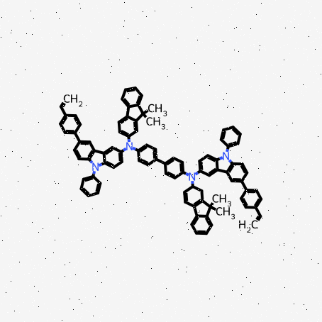 C=Cc1ccc(-c2ccc3c(c2)c2cc(N(c4ccc(-c5ccc(N(c6ccc7c(c6)c6cc(-c8ccc(C=C)cc8)ccc6n7-c6ccccc6)C6C=CC7=C(C6)C(C)(C)c6ccccc67)cc5)cc4)c4ccc5c(c4)C(C)(C)c4ccccc4-5)ccc2n3-c2ccccc2)cc1